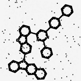 c1ccc(-c2ccc(-c3cc(-c4cccc5oc6cc(-n7c8ccccc8c8cc9ccccc9cc87)ccc6c45)nc(-c4ccccc4)n3)cc2)cc1